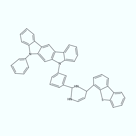 C1=CC(c2cccc3c2sc2ccccc23)NC(c2cccc(-n3c4ccccc4c4cc5c6ccccc6n(-c6ccccc6)c5cc43)c2)N1